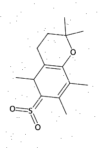 CC1=C(C)C(=S(=O)=O)C(C)C2=C1OC(C)(C)CC2